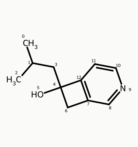 CC(C)CC1(O)Cc2cnccc21